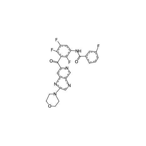 O=C(Nc1cc(F)c(F)c(C(=O)c2cc3nc(N4CCOCC4)cnc3cn2)c1F)c1cccc(F)c1